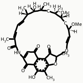 CO[C@H]1/C=C/O[C@@]2(C)Oc3c(C)c(O)c4c(c3C2=O)C(=O)C=C(NC(=O)/C(C)=C\C=C\[C@H](C)[C@H](O)[C@@H](C)C[C@@H](C)[C@H](OC(C)=O)C1)C4=O